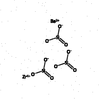 O=[Si]([O-])[O-].O=[Si]([O-])[O-].O=[Si]([O-])[O-].[Ba+2].[Zr+4]